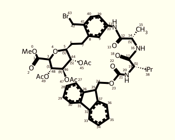 COC(=O)C1O[C@@H](CCc2cc(NC(=O)[C@H](C)NC(=O)[C@@H](NC(=O)OCC3c4ccccc4-c4ccccc43)C(C)C)ccc2CBr)[C@H](OC(C)=O)[C@@H](OC(C)=O)[C@@H]1OC(C)=O